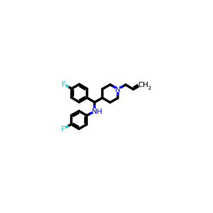 C=CCN1CCC(C(Nc2ccc(F)cc2)c2ccc(F)cc2)CC1